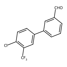 O=Cc1cccc(-c2ccc(Cl)c(C(F)(F)F)c2)c1